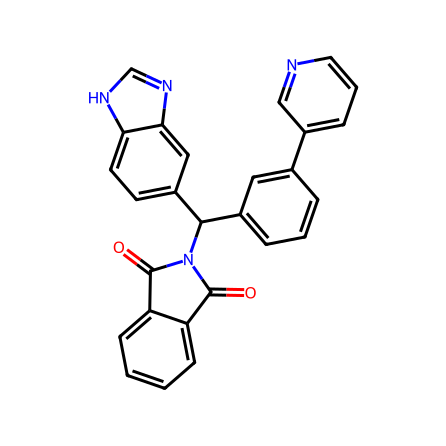 O=C1c2ccccc2C(=O)N1C(c1cccc(-c2cccnc2)c1)c1ccc2[nH]cnc2c1